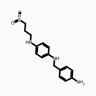 Nc1ccc(CNc2ccc(NCCC[SH](=O)=O)cc2)cc1